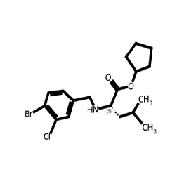 CC(C)C[C@H](NCc1ccc(Br)c(Cl)c1)C(=O)OC1CCCC1